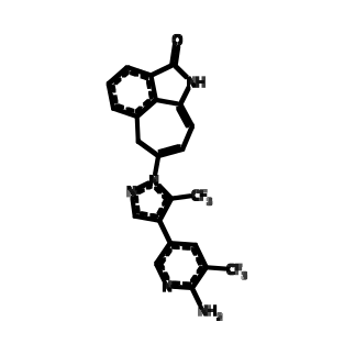 Nc1ncc(-c2cnn(C3=CC=C4NC(=O)c5cccc(c54)C3)c2C(F)(F)F)cc1C(F)(F)F